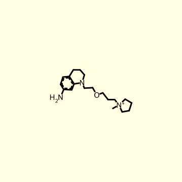 C[N+]1(CCCOCCN2CCCc3ccc(N)cc32)CCCC1